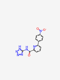 O=C(Nc1nnn[nH]1)c1cccc(-c2ccc([N+](=O)[O-])cc2)n1